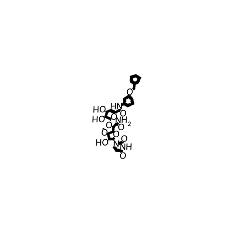 CO[C@H]1[C@@H](O)[C@H](n2ccc(=O)[nH]c2=O)O[C@@H]1[C@@H](O[C@H]1OC(C(=O)Nc2cccc(OCc3ccccc3)c2)=C[C@H](O)[C@@H]1O)C(N)=O